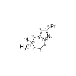 CC(C)c1cc2n(n1)CCCC(C)(I)C2